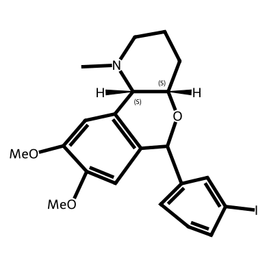 COc1cc2c(cc1OC)[C@H]1[C@H](CCCN1C)OC2c1cccc(I)c1